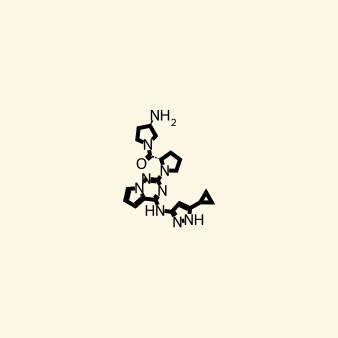 N[C@H]1CCN(C(=O)[C@@H]2CCCN2c2nc(Nc3cc(C4CC4)[nH]n3)c3cccn3n2)C1